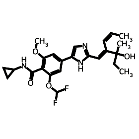 C/C=C\C(=C/c1ncc(-c2cc(OC)c(C(=O)NC3CC3)c(OC(F)F)c2)[nH]1)C(C)(O)CC